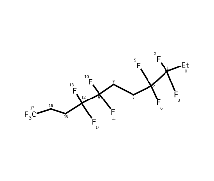 CCC(F)(F)C(F)(F)CCC(F)(F)C(F)(F)CCC(F)(F)F